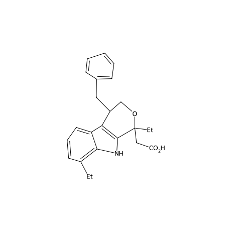 CCc1cccc2c3c([nH]c12)C(CC)(CC(=O)O)OCC3Cc1ccccc1